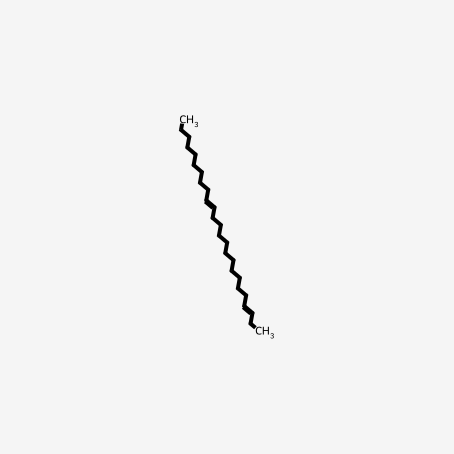 CCC=CCCCCCCCCCCC=CCCCCCCCCC